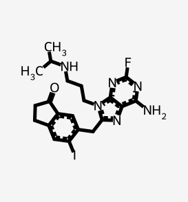 CC(C)NCCCn1c(Cc2cc3c(cc2I)CCC3=O)nc2c(N)nc(F)nc21